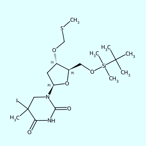 CSCO[C@H]1C[C@H](N2CC(C)(I)C(=O)NC2=O)O[C@@H]1CO[Si](C)(C)C(C)(C)C